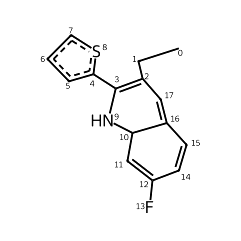 CCC1=C(c2cccs2)NC2C=C(F)C=CC2=C1